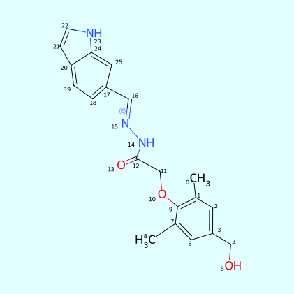 Cc1cc(CO)cc(C)c1OCC(=O)N/N=C/c1ccc2cc[nH]c2c1